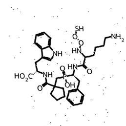 NCCCCC(NOOS)C(=O)N[C@@H](Cc1ccccc1)P(=O)(O)CC1(C(=O)N[C@@H](Cc2c[nH]c3ccccc23)C(=O)O)CCCC1